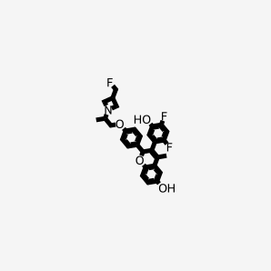 CC1=C(c2cc(O)c(F)cc2F)C(c2ccc(OCC(C)N3CC(CF)C3)cc2)Oc2ccc(O)cc21